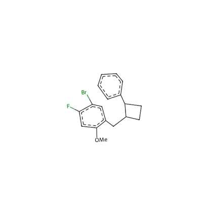 COc1cc(F)c(Br)cc1CC1CCC1c1ccccc1